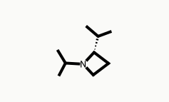 CC(C)[C@@H]1CCN1C(C)C